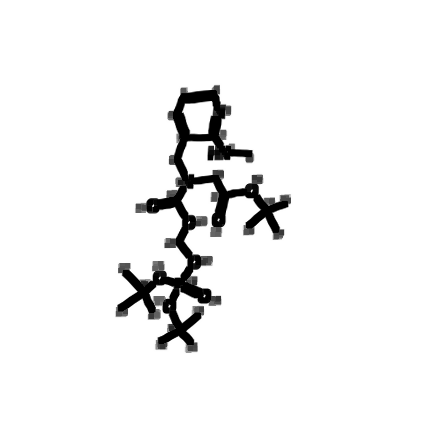 CNc1ncccc1CN(CC(=O)OC(C)(C)C)C(=O)OCOP(=O)(OC(C)(C)C)OC(C)(C)C